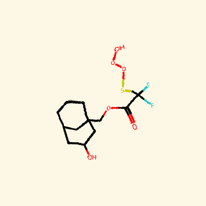 O=C(OCC12CCCC(CC(O)C1)C2)C(F)(F)SOOO